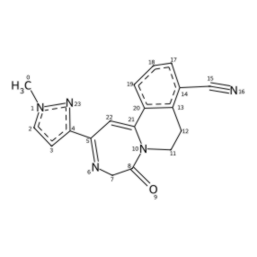 Cn1ccc(C2=NCC(=O)N3CCc4c(C#N)cccc4C3=C2)n1